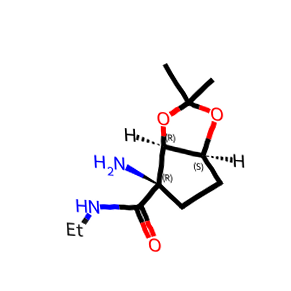 CCNC(=O)[C@@]1(N)CC[C@@H]2OC(C)(C)O[C@@H]21